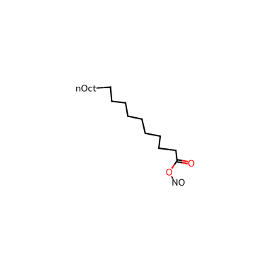 CCCCCCCCCCCCCCCCCC(=O)ON=O